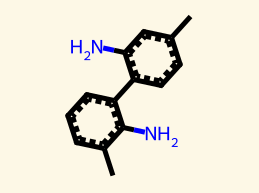 Cc1ccc(-c2cccc(C)c2N)c(N)c1